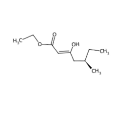 CCOC(=O)C=C(O)C[C@H](C)CC